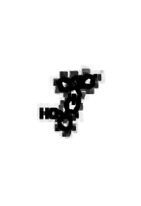 OCC1(C2CCN(CC34CC(c5ccccc53)c3ccccc34)CC2)CCCCC1